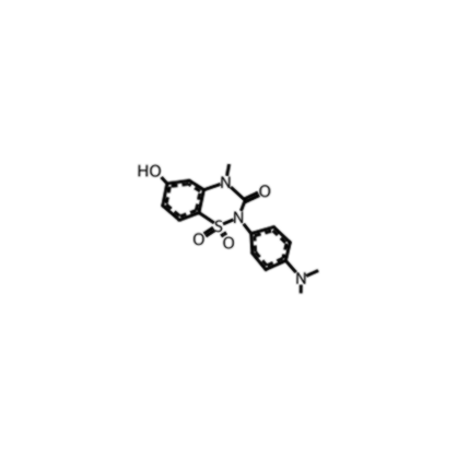 CN(C)c1ccc(N2C(=O)N(C)c3cc(O)ccc3S2(=O)=O)cc1